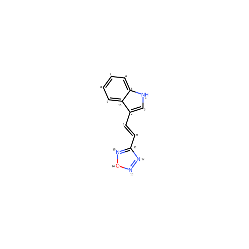 C(=Cc1c[nH]c2ccccc12)c1nnon1